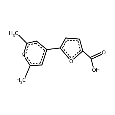 Cc1cc(-c2ccc(C(=O)O)o2)cc(C)n1